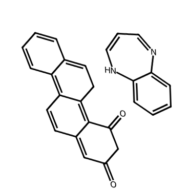 C1=CNc2ccccc2N=C1.O=C1C=c2ccc3c(c2C(=O)C1)CC=c1ccccc1=3